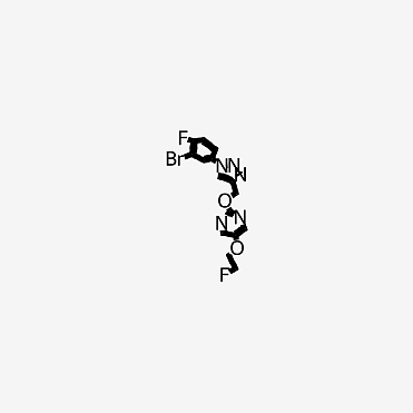 FCCOc1cnc(OCc2cn(-c3ccc(F)c(Br)c3)nn2)nc1